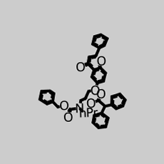 CCCN(CC(COc1ccc2oc(-c3ccccc3)cc(=O)c2c1)OC(=O)C(c1ccccc1)c1ccccc1)C(=O)OCc1ccccc1